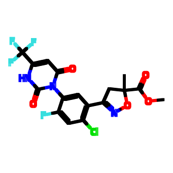 COC(=O)C1(C)CC(c2cc(-n3c(=O)cc(C(F)(F)F)[nH]c3=O)c(F)cc2Cl)=NO1